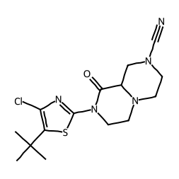 CC(C)(C)c1sc(N2CCN3CCN(C#N)CC3C2=O)nc1Cl